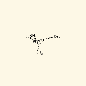 C=CCCCCOC(COCCCCCCCCCCCCCCCC)COP(=O)(O)OCCN(C)CC